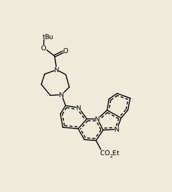 CCOC(=O)c1cc2ccc(N3CCCN(C(=O)OC(C)(C)C)CC3)nc2n2c1nc1ccccc12